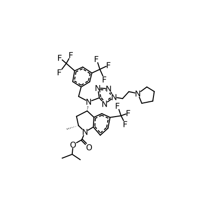 CC(C)OC(=O)N1c2ccc(C(F)(F)F)cc2[C@@H](N(Cc2cc(C(F)(F)F)cc(C(F)(F)F)c2)c2nnn(CCN3CCCC3)n2)C[C@H]1C